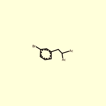 CC(=O)C(Cc1cccc(Br)c1)C(C)=O